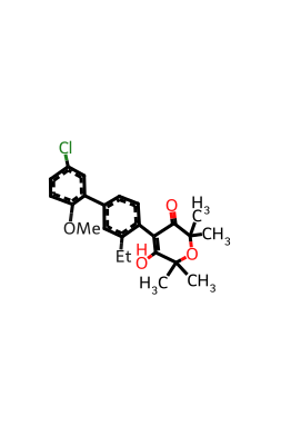 CCc1cc(-c2cc(Cl)ccc2OC)ccc1C1=C(O)C(C)(C)OC(C)(C)C1=O